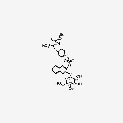 CC(C)(C)OC(=O)NC(Cc1ccc(OS(=O)(=O)Oc2cc3ccccc3cc2O[C@@H]2O[C@H](CO)[C@H](O)[C@H](O)[C@H]2O)cc1)C(=O)O